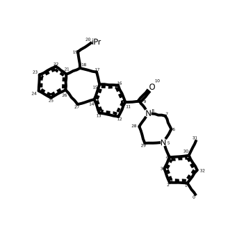 Cc1ccc(N2CCN(C(=O)c3ccc4c(c3)CC(CC(C)C)c3ccccc3C4)CC2)c(C)c1